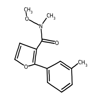 CON(C)C(=O)c1ccoc1-c1cccc(C)c1